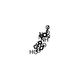 COCCOc1cc2ncnc(Nc3ccc(N4CCCC(CO)C4)c(C4=CC(=O)C=CC4=O)c3)c2cc1OC